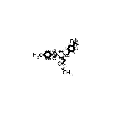 CCOC(=O)CC1CN(S(=O)(=O)c2ccc(C)cc2)CCN1Cc1ccc(C(F)(F)F)cc1